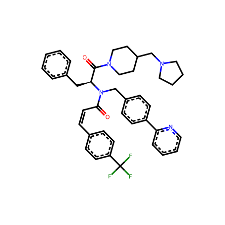 O=C([C@H](Cc1ccccc1)N(Cc1ccc(-c2ccccn2)cc1)C(=O)/C=C\c1ccc(C(F)(F)F)cc1)N1CCC(CN2CCCC2)CC1